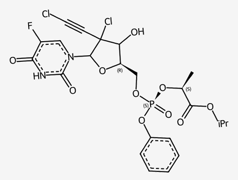 CC(C)OC(=O)[C@H](C)O[P@](=O)(OC[C@H]1OC(n2cc(F)c(=O)[nH]c2=O)C(Cl)(C#CCl)C1O)Oc1ccccc1